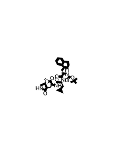 COC(=O)[C@H](C[C@@H]1CCNC1=O)NC(=O)[C@H](CC1CC1)NC(=O)[C@H](Cc1cccc2ccccc12)NC(=O)OC(C)(C)C